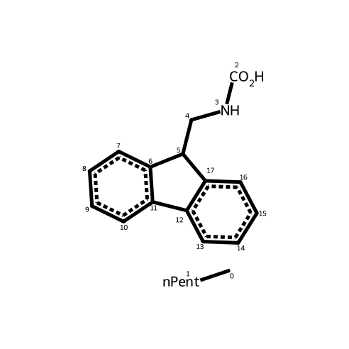 CCCCCC.O=C(O)NCC1c2ccccc2-c2ccccc21